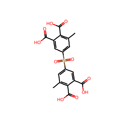 Cc1cc(S(=O)(=O)c2cc(C)c(C(=O)O)c(C(=O)O)c2)cc(C(=O)O)c1C(=O)O